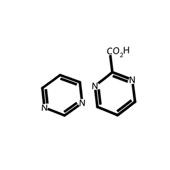 O=C(O)c1ncccn1.c1cncnc1